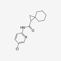 O=C(Nc1ccc(Cl)cn1)C1CC12CCCCC2